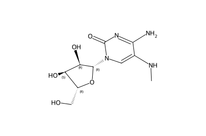 CNc1cn([C@@H]2O[C@H](CO)[C@@H](O)[C@H]2O)c(=O)nc1N